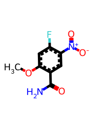 COc1cc(F)c([N+](=O)[O-])cc1C(N)=O